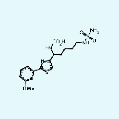 COc1cccc(-c2nc(C(CCCCNS(N)(=O)=O)NC(=O)O)cs2)c1